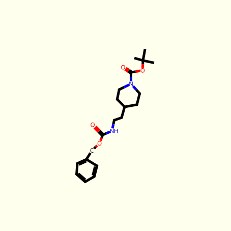 CC(C)(C)OC(=O)N1CCC(CCNC(=O)OCc2ccccc2)CC1